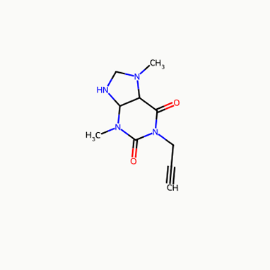 C#CCN1C(=O)C2C(NCN2C)N(C)C1=O